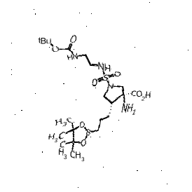 CC(C)(C)OC(=O)NCCNS(=O)(=O)N1C[C@@H](CCCB2OC(C)(C)C(C)(C)O2)[C@@](N)(C(=O)O)C1